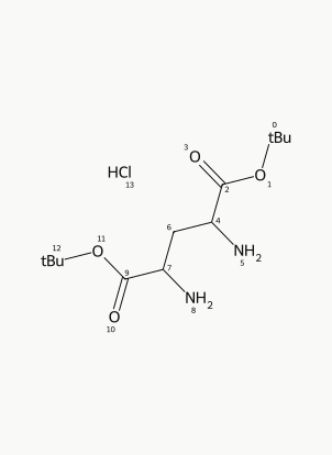 CC(C)(C)OC(=O)C(N)CC(N)C(=O)OC(C)(C)C.Cl